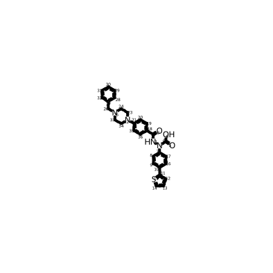 O=C(NN(C(=O)O)c1ccc(-c2cccs2)cc1)c1ccc(N2CCN(Cc3ccccc3)CC2)cc1